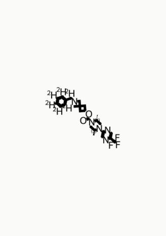 [2H]c1c([2H])c([2H])c(C([2H])N2CC3(CC(OC(=O)N4C[C@H](C)N(c5cnc(C(F)(F)F)cn5)C[C@H]4C)C3)C2)c([2H])c1[2H]